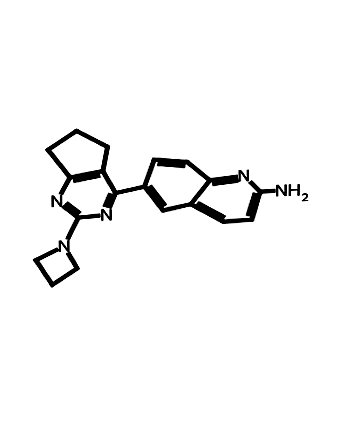 Nc1ccc2cc(-c3nc(N4CCC4)nc4c3CCC4)ccc2n1